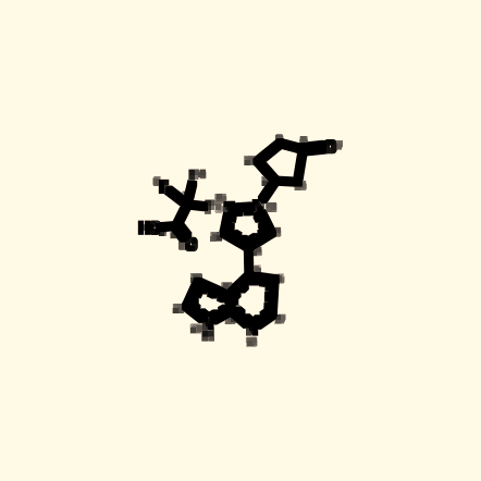 O=C(O)C(F)(F)F.O=C1CCC(n2cc(-c3ccnc4[nH]ccc34)cn2)C1